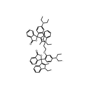 CCN(CC)c1ccc(C2(c3c(C)n(CC)c4ccccc34)OC(=O)c3ccccc32)c(OCCCCOc2cc(N(CC)CC)ccc2C2(c3c(C)n(CC)c4ccccc34)OC(=O)c3ccccc32)c1